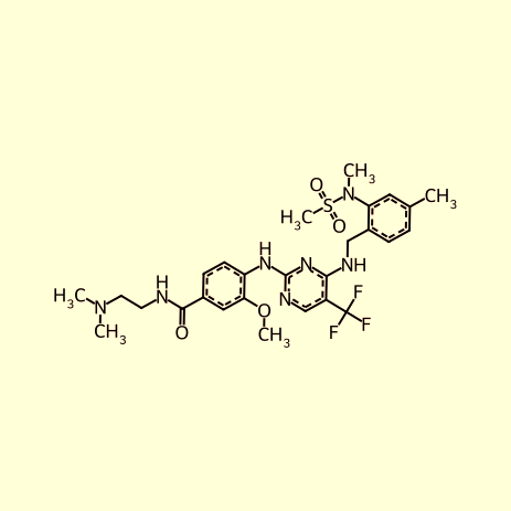 COc1cc(C(=O)NCCN(C)C)ccc1Nc1ncc(C(F)(F)F)c(NCc2ccc(C)cc2N(C)S(C)(=O)=O)n1